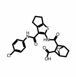 O=C(Nc1ccc(Cl)cc1)c1c(NC(=O)C2C3CCC(O3)C2C(=O)O)sc2c1CCC2